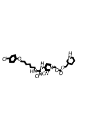 N#CN=C(NCCCCCCOc1ccc(Cl)cc1)Nc1cc[n+](COC(=O)OCC2CCCNC2)cc1.[Cl-]